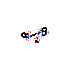 CC(C)(C)OC(=O)N[C@H](CCCCN1C(=O)c2ccccc2C1=O)C(=O)N1CCC[C@H]2CCCC[C@@H]21